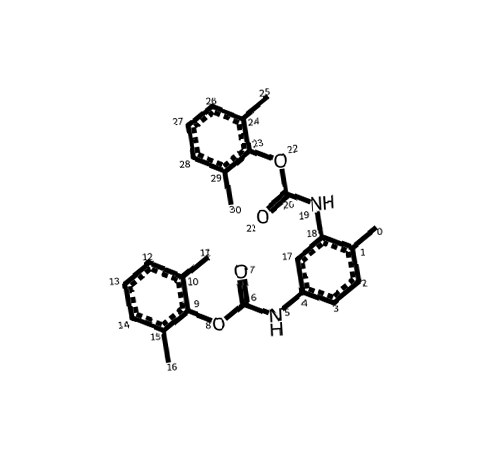 Cc1ccc(NC(=O)Oc2c(C)cccc2C)cc1NC(=O)Oc1c(C)cccc1C